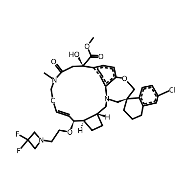 COC(=O)[C@@]1(O)CC(=O)N(C)CC/C=C/[C@H](OCCN2CC(F)(F)C2)[C@@H]2CC[C@H]2CN2C[C@@]3(CCCc4cc(Cl)ccc43)COc3ccc1cc32